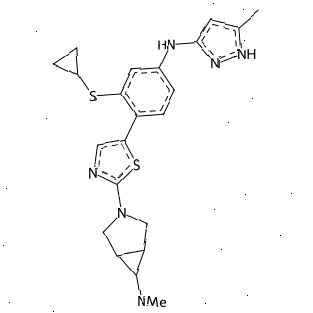 CNC1C2CN(c3ncc(-c4ccc(Nc5cc(C)[nH]n5)cc4SC4CC4)s3)CC21